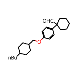 CCCCC1CCC(COc2ccc(C3(C=O)CCCCC3)cc2)CC1